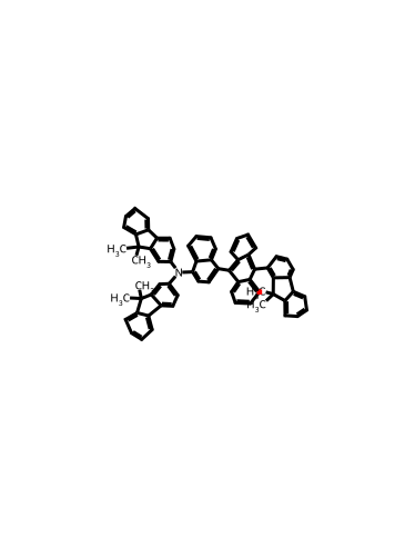 CC1(C)c2ccccc2-c2ccc(N(c3ccc4c(c3)C(C)(C)c3ccccc3-4)c3ccc(-c4c5ccccc5c(-c5cccc6c5C(C)(C)c5ccccc5-6)c5ccccc45)c4ccccc34)cc21